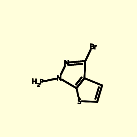 Pn1nc(Br)c2ccsc21